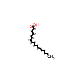 CCCCCCCCCC/C=C\C=C\C=CCC(=O)O